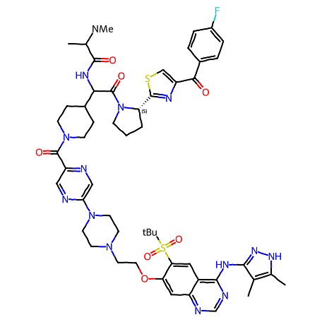 CNC(C)C(=O)NC(C(=O)N1CCC[C@H]1c1nc(C(=O)c2ccc(F)cc2)cs1)C1CCN(C(=O)c2cnc(N3CCN(CCOc4cc5ncnc(Nc6n[nH]c(C)c6C)c5cc4S(=O)(=O)C(C)(C)C)CC3)cn2)CC1